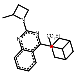 CCOC(=O)CC1C2CC1CN(c1nc(N3CCC3C)nc3ccccc13)C2